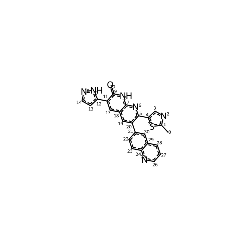 Cc1ncc(-c2nc3[nH]c(=O)c(-c4ccn[nH]4)cc3cc2-c2ccc3ncccc3c2)s1